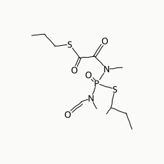 CCCSC(=O)C(=O)N(C)P(=O)(SC(C)CC)N(C)C=O